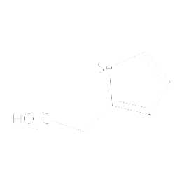 O=C(O)Cc1ccc[se]1